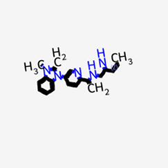 C=C(NCC(=N)/C=C\C)c1ccc(N2C(=C)N(C)c3ccccc32)cn1